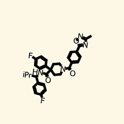 Cc1noc(-c2ccc(C(=O)N3CCC(C(=O)NC(c4ccc(F)cc4)C(C)C)(c4ccc(F)cc4)CC3)cc2)n1